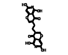 O=c1c(CCc2coc3cc(O)nc(O)c3c2=O)coc2cc(O)nc(O)c12